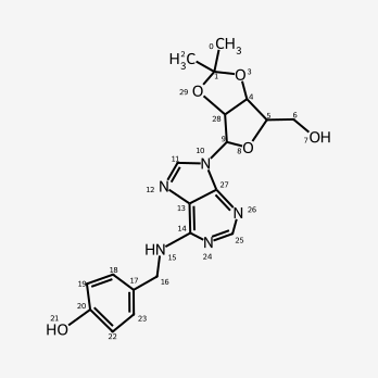 CC1(C)OC2C(CO)OC(n3cnc4c(NCc5ccc(O)cc5)ncnc43)C2O1